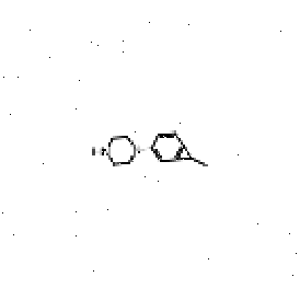 CC1c2ccc(N3CCNCC3)cc21